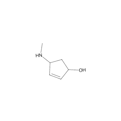 CNC1C=CC(O)C1